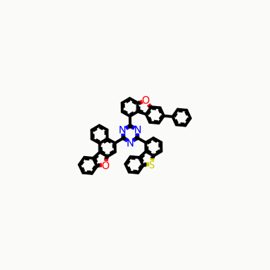 c1ccc(-c2ccc3c(c2)oc2cccc(-c4nc(-c5cc6oc7ccccc7c6c6ccccc56)nc(-c5cccc6sc7ccccc7c56)n4)c23)cc1